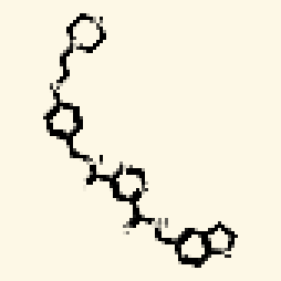 O=C(NCc1ccc(OCCN2CCOCC2)cc1)c1cc(C(=O)NCc2ccc3c(c2)CCO3)ncn1